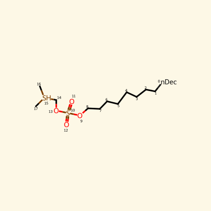 CCCCCCCCCCCCCCCCCCOS(=O)(=O)OC[SH](C)C